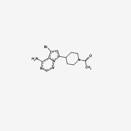 CC(=O)N1CCC(c2cc(Br)c3c(N)ncnn23)CC1